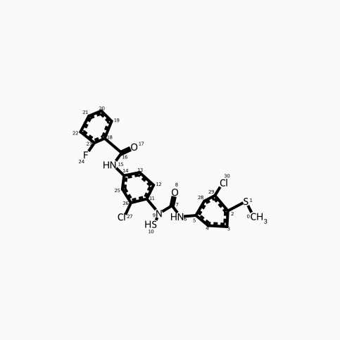 CSc1ccc(NC(=O)N(S)c2ccc(NC(=O)c3ccccc3F)cc2Cl)cc1Cl